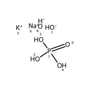 O=P(O)(O)O.[K+].[Na+].[OH-].[OH-]